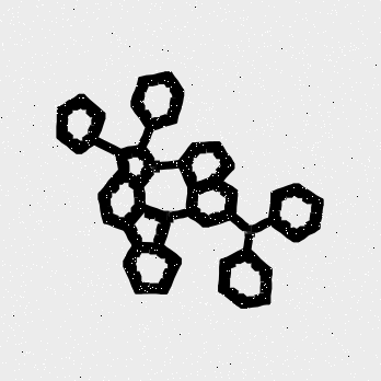 c1ccc(-c2c(-c3ccccc3)n(-c3ccccc3)c3c2ccc2c4ccccc4n(-c4cccc(N(c5ccccc5)c5ccccc5)c4)c23)cc1